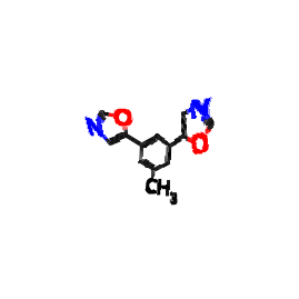 Cc1cc(-c2cnco2)cc(-c2cnco2)c1